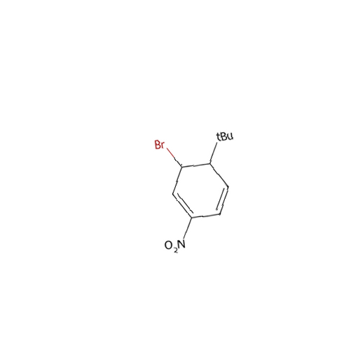 CC(C)(C)C1C=CC([N+](=O)[O-])=C[C]1Br